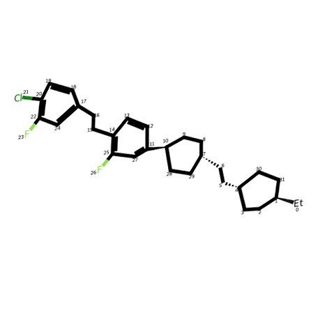 CC[C@H]1CC[C@H](CC[C@H]2CC[C@H](c3ccc(CCc4ccc(Cl)c(F)c4)c(F)c3)CC2)CC1